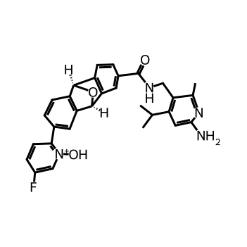 Cc1nc(N)cc(C(C)C)c1CNC(=O)c1ccc2c(c1)[C@@H]1O[C@H]2c2ccc(-c3ccc(F)c[n+]3O)cc21